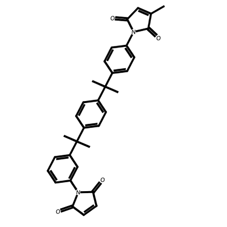 CC1=CC(=O)N(c2ccc(C(C)(C)c3ccc(C(C)(C)c4cccc(N5C(=O)C=CC5=O)c4)cc3)cc2)C1=O